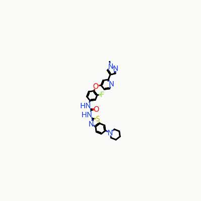 Cn1cc(-c2cc(Oc3ccc(NC(=O)Nc4nc5ccc(N6CCCCC6)cc5s4)cc3F)ccn2)cn1